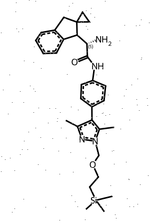 Cc1nn(COCC[Si](C)(C)C)c(C)c1-c1ccc(NC(=O)[C@@H](N)C2c3ccccc3CC23CC3)cc1